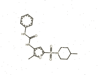 Cc1oc(S(=O)(=O)N2CCC(C)CC2)cc1NC(=O)Nc1ccccc1